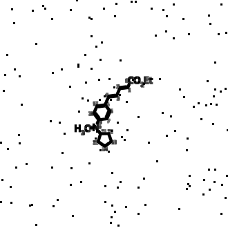 CCOC(=O)/C=C/C=C/c1ccc(N(C)C2CCCC2)cc1